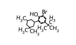 CC1CC(c2cc(C(C)(C)C)cc(Br)c2O)CC(C)(C)C1